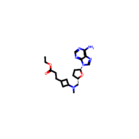 CCOC(=O)CCC1CC(N(C)C[C@@H]2CC[C@H](n3cnc4c(N)ncnc43)O2)C1